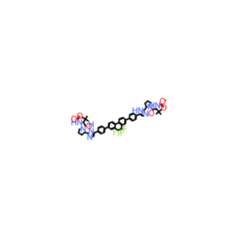 COC(=O)N[C@H](C(=O)N1CCCC1c1ncc(-c2ccc(-c3ccc4c(c3)C(F)(F)C(F)(F)c3cc(-c5ccc(-c6cnc(C7CCCN7C(=O)[C@@H](NC(=O)OC)C(C)(C)C)[nH]6)cc5)ccc3-4)cc2)[nH]1)C(C)(C)C